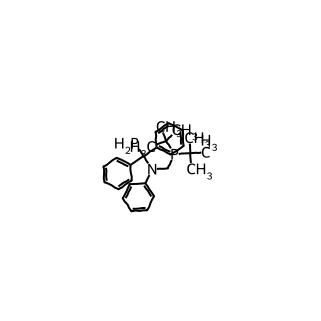 CC(C)(C)P(CN(c1ccccc1)C(P)(c1ccccc1)c1ccccc1)C(C)(C)C